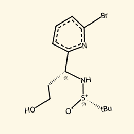 CC(C)(C)[S@+]([O-])N[C@H](CCO)c1cccc(Br)n1